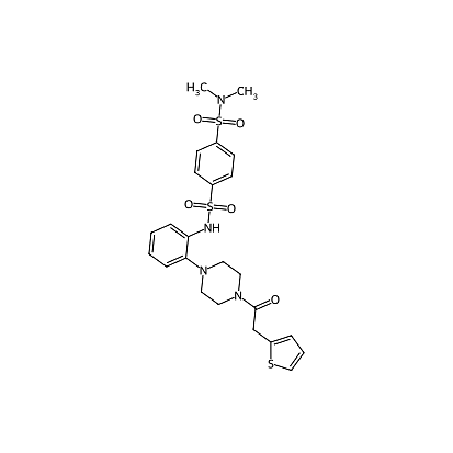 CN(C)S(=O)(=O)c1ccc(S(=O)(=O)Nc2ccccc2N2CCN(C(=O)Cc3cccs3)CC2)cc1